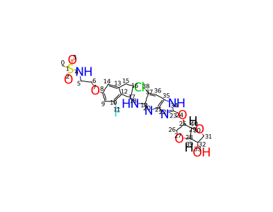 CS(=O)(=O)NCCOc1cc(F)c2c(c1)CCC2Nc1nc2nc(O[C@@H]3CO[C@H]4[C@@H]3OC[C@H]4O)[nH]c2cc1Cl